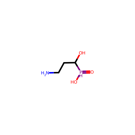 NCCC(O)[PH](=O)O